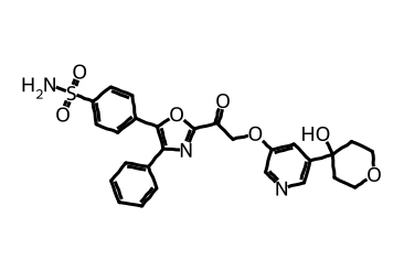 NS(=O)(=O)c1ccc(-c2oc(C(=O)COc3cncc(C4(O)CCOCC4)c3)nc2-c2ccccc2)cc1